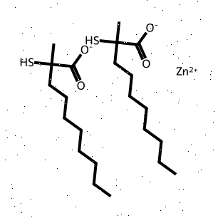 CCCCCCCCC(C)(S)C(=O)[O-].CCCCCCCCC(C)(S)C(=O)[O-].[Zn+2]